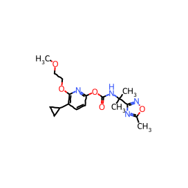 COCCOc1nc(OC(=O)NC(C)(C)c2noc(C)n2)ccc1C1CC1